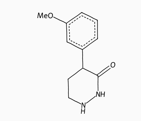 COc1cccc(C2CCNNC2=O)c1